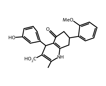 COc1ccccc1C1CC(=O)C2=C(C1)NC(C)=C(C(=O)O)C2c1cccc(O)c1